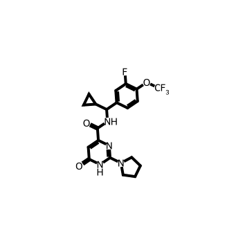 O=C(NC(c1ccc(OC(F)(F)F)c(F)c1)C1CC1)c1cc(=O)[nH]c(N2CCCC2)n1